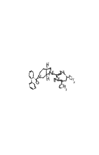 Cc1cc(C)nc(N2C[C@H]3CCN(C(=O)c4ccccc4-c4ccccc4)C[C@H]32)n1